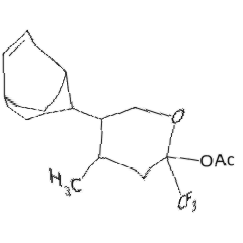 CC(=O)OC1(C(F)(F)F)CC(C)C(C2CC3C=CC2C3)CO1